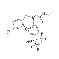 CCOC(=O)CN(Cc1ccc(Cl)cc1Cl)c1ccc(C(O)(C(F)(F)F)C(F)(F)F)cc1